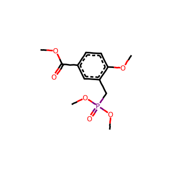 COC(=O)c1ccc(OC)c(CP(=O)(OC)OC)c1